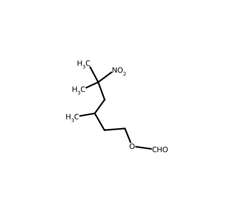 CC(CCOC=O)CC(C)(C)[N+](=O)[O-]